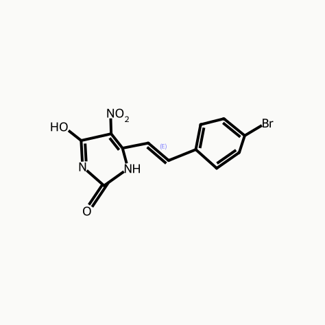 O=c1nc(O)c([N+](=O)[O-])c(/C=C/c2ccc(Br)cc2)[nH]1